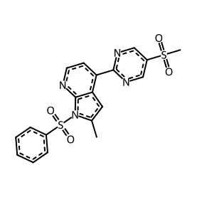 Cc1cc2c(-c3ncc(S(C)(=O)=O)cn3)ccnc2n1S(=O)(=O)c1ccccc1